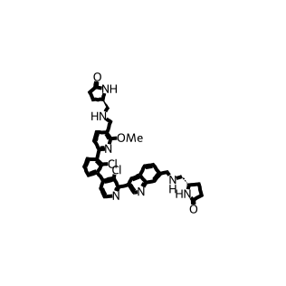 COc1nc(-c2cccc(-c3ccnc(-c4cnc5cc(CNC[C@@H]6CCC(=O)N6)ccc5c4)c3Cl)c2Cl)ccc1CNC[C@H]1CCC(=O)N1